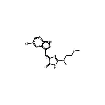 COCCN(C)C1=N/C(=C\c2c[nH]c3ncc(Cl)cc23)C(=O)N1